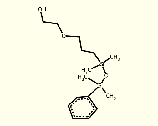 C[Si](C)(CCCOCCO)O[Si](C)(C)c1ccccc1